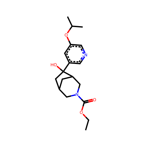 CCOC(=O)N1CC2CC(C1)C(O)(c1cncc(OC(C)C)c1)C2